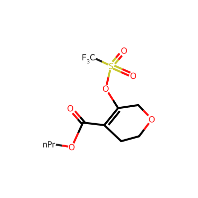 CCCOC(=O)C1=C(OS(=O)(=O)C(F)(F)F)COCC1